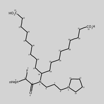 CCCCCCCC(F)C(=O)N(CCCN1CCCC1)C(CCCCCCCCC(=O)O)CCCCCCCCC(=O)O